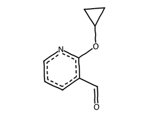 O=Cc1cccnc1OC1CC1